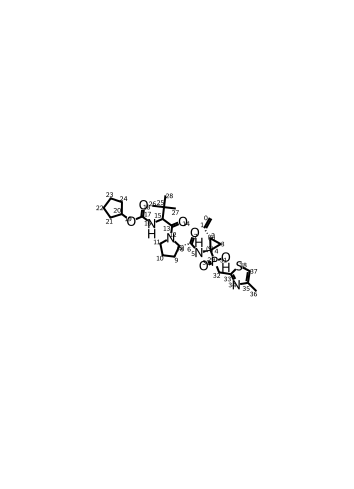 C=C[C@@H]1C[C@]1(NC(=O)[C@@H]1CCCN1C(=O)C(NC(=O)OC1CCCC1)C(C)(C)C)P(=O)(O)Cc1nc(C)cs1